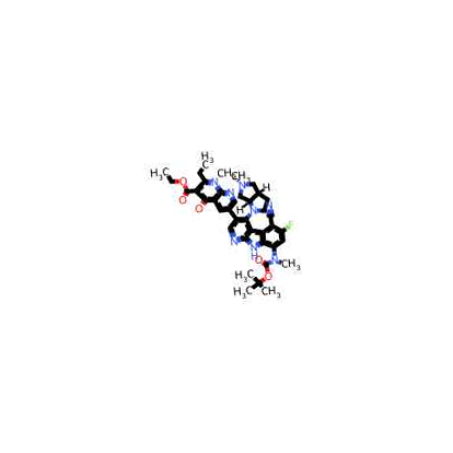 CCOC(=O)c1c(CC)n(C)c2ncc(-c3cnc4[nH]c5c(N(C)C(=O)OC(C)(C)C)cc(F)c(C#N)c5c4c3N3CC[C@H]4CN(C)C[C@H]43)cc2c1=O